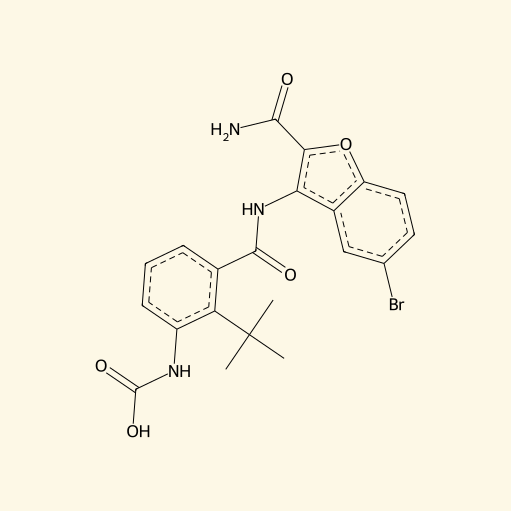 CC(C)(C)c1c(NC(=O)O)cccc1C(=O)Nc1c(C(N)=O)oc2ccc(Br)cc12